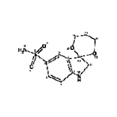 NS(=O)(=O)c1ccc2c(c1)C1(CN2)OCCCO1